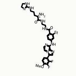 CCc1cc(Nc2nccn3c(-c4ccc(OC)c(F)c4F)cnc23)ccc1C(=O)NCCNC(=O)[C@@H](N)CCCNC1=NCCN1